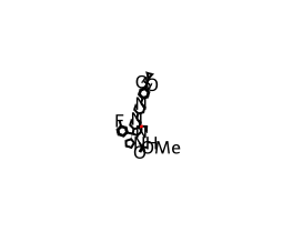 COC(=O)N[C@H]1CCC[C@@H]1C(CN1CCC1)(c1cccc(F)c1)C1CCN(C2CCN(c3ccc(S(=O)(=O)C4CC4)cc3)CC2)CC1